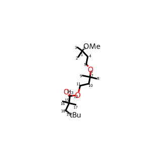 COC(C)(C)CCOC(C)(C)CCOC(=O)C(C)(C)CC(C)(C)C